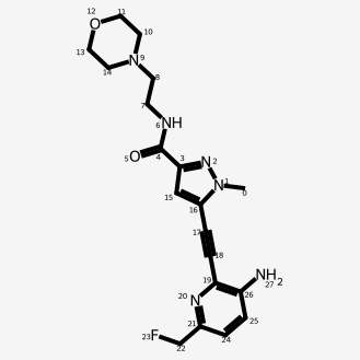 Cn1nc(C(=O)NCCN2CCOCC2)cc1C#Cc1nc(CF)ccc1N